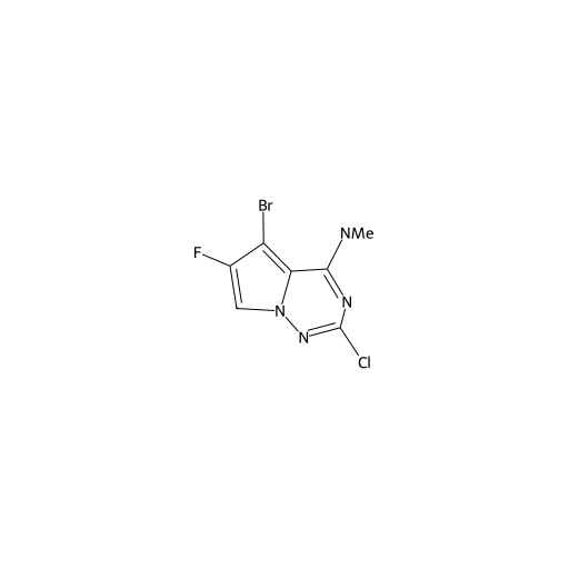 CNc1nc(Cl)nn2cc(F)c(Br)c12